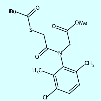 CCC(C)C(=O)SCC(=O)N(CC(=O)OC)c1c(C)ccc(Cl)c1C